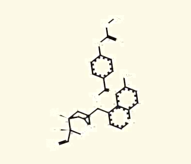 C=C[C@H]1C[N@@]2CC[C@@H]1CC2[C@H](OC(=O)c1ccc(NC(=O)OC(C)(C)C)cc1)c1ccnc2ccc(OC)cc12